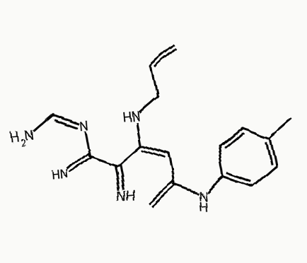 C=CCN/C(=C/C(=C)Nc1ccc(C)cc1)C(=N)C(=N)/N=C\N